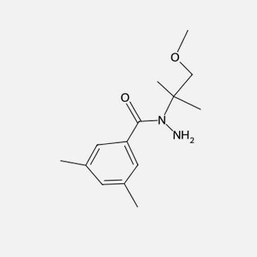 COCC(C)(C)N(N)C(=O)c1cc(C)cc(C)c1